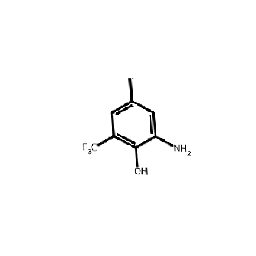 [CH2]c1cc(N)c(O)c(C(F)(F)F)c1